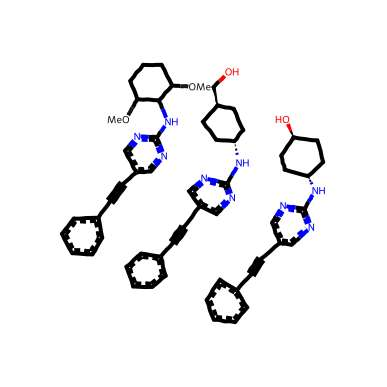 COC1CCCC(OC)C1Nc1ncc(C#Cc2ccccc2)cn1.OC[C@H]1CC[C@H](Nc2ncc(C#Cc3ccccc3)cn2)CC1.O[C@H]1CC[C@H](Nc2ncc(C#Cc3ccccc3)cn2)CC1